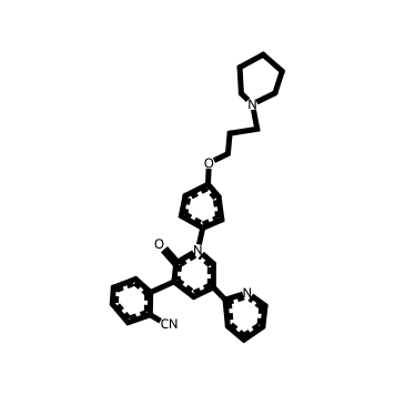 N#Cc1ccccc1-c1cc(-c2ccccn2)cn(-c2ccc(OCCCN3CCCCC3)cc2)c1=O